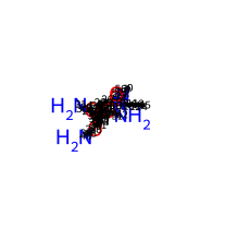 C=CCN(CC(=O)N(CCCCCCCC)CCCC(C)C1CC[C@H]2C3[C@H](OCCCN)CC4C[C@H](OCCCN)CC[C@]4(C)[C@H]3C[C@H](OCCCN)[C@]12C)C(C)=O